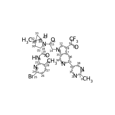 Cc1ncc(-c2cc3c(C(=O)C(F)(F)F)cn(CC(=O)N4[C@H](C(=O)Nc5nc(Br)ccc5C)C[C@@]5(C)C[C@@H]45)c3cn2)cn1